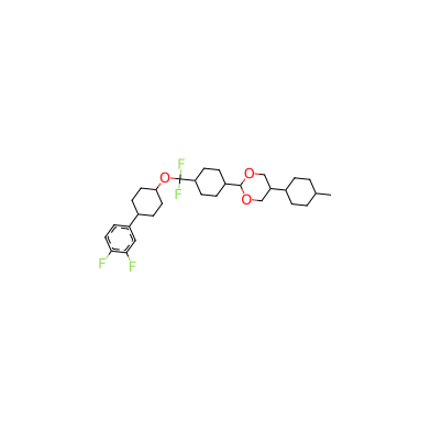 CC1CCC(C2COC(C3CCC(C(F)(F)OC4CCC(c5ccc(F)c(F)c5)CC4)CC3)OC2)CC1